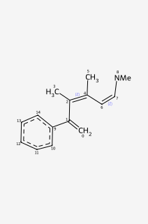 C=C(/C(C)=C(C)\C=C/NC)c1ccccc1